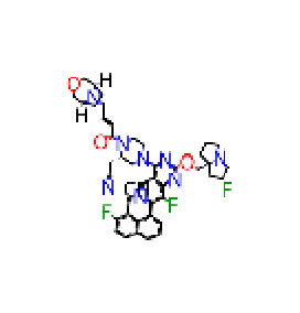 C#Cc1c(F)ccc2cccc(-c3ncc4c(N5CCN(C(=O)/C=C/CN6[C@@H]7CC[C@H]6COC7)[C@@H](CC#N)C5)nc(OC[C@@]56CCCN5C[C@H](F)C6)nc4c3F)c12